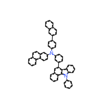 c1ccc(-n2c3ccccc3c3c(-c4cccc(N(c5ccc(-c6ccc7ccccc7c6)cc5)c5ccc6c(ccc7ccccc76)c5)c4)cc4ccccc4c32)cc1